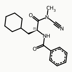 CN(C#N)C(=O)[C@H](CC1CCCCC1)NC(=O)c1ccccc1